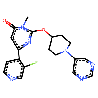 Cn1c(OC2CCN(c3cncnc3)CC2)nc(-c2ccncc2F)cc1=O